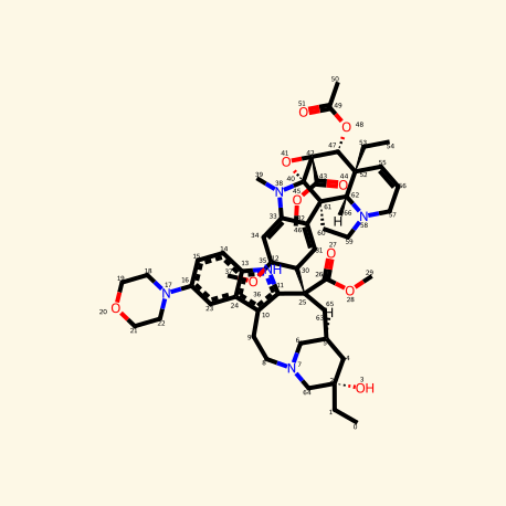 CC[C@]1(O)C[C@H]2CN(CCc3c([nH]c4ccc(N5CCOCC5)cc34)[C@@](C(=O)OC)(C3C=C4C(=CC3OC)N(C)[C@@]35O[C@]3(C(=O)OC)[C@H](OC(C)=O)[C@]3(CC)C=CCN6CC[C@]45[C@@H]63)C2)C1